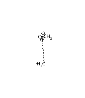 [CH2]CCCCCCCCCCCCCCCOOC(=O)c1ccccc1C